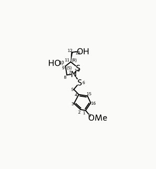 COc1ccc(CSN2C[C@H](O)[C@@H](CO)S2)cc1